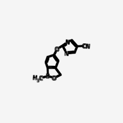 CB1OCc2cc(Oc3ncc(C#N)cn3)ccc21